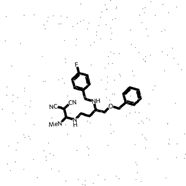 CNC(NCCC(COCc1ccccc1)NCc1ccc(F)cc1)C(C#N)C#N